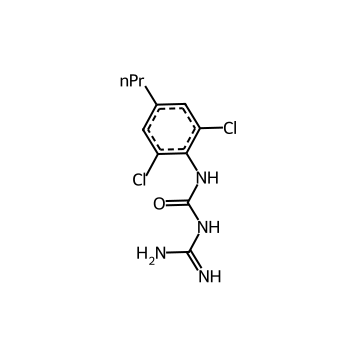 CCCc1cc(Cl)c(NC(=O)NC(=N)N)c(Cl)c1